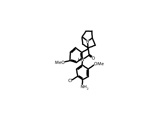 COc1ccc(CN2C3CCC2CC(C(=O)Nc2cc(Cl)c(N)cc2OC)C3)cc1